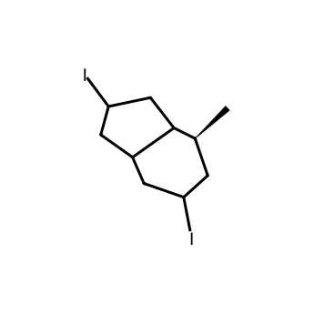 C[C@H]1CC(I)CC2CC(I)CC21